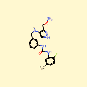 CN(Cc1cccc(NC(=O)Nc2cc(C(F)(F)F)ccc2F)c1)c1c[nH]nc1CON